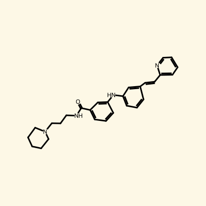 O=C(NCCCN1CCCCC1)c1cccc(Nc2cccc(/C=C/c3ccccn3)c2)c1